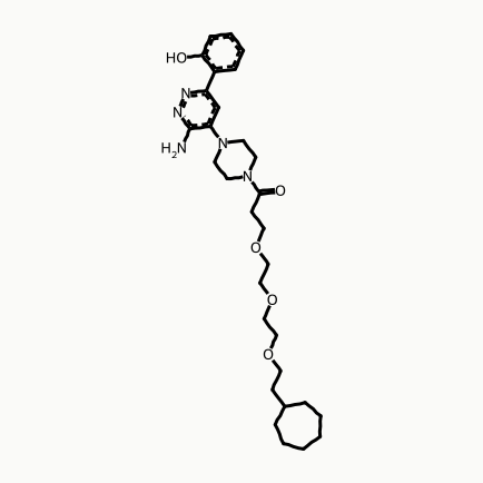 Nc1nnc(-c2ccccc2O)cc1N1CCN(C(=O)CCOCCOCCOCCC2CCCCCC2)CC1